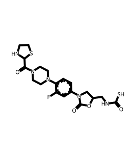 O=C(S)NCC1CN(c2ccc(N3CCN(C(=O)C4NCCS4)CC3)c(F)c2)C(=O)O1